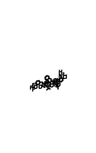 CC(C)CN(C[C@@H](O)[C@H](Cc1ccccc1)NC(=O)[C@H](C(C)C)N1CC(=O)N(Cc2cccc(OC(F)(F)F)c2)C1=O)S(=O)(=O)c1ccc(Cl)c(N)c1